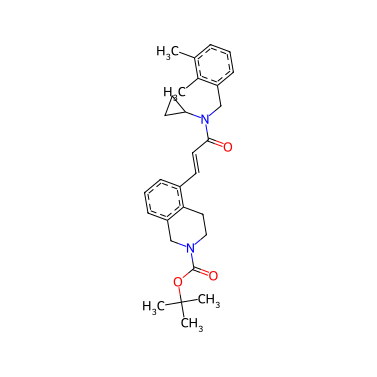 Cc1cccc(CN(C(=O)/C=C/c2cccc3c2CCN(C(=O)OC(C)(C)C)C3)C2CC2)c1C